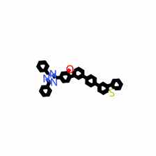 c1ccc(-c2nc(-c3ccccc3)nc(-c3ccc4c(c3)oc3ccc(-c5ccc(-c6ccc7sc8ccccc8c7c6)cc5)cc34)n2)cc1